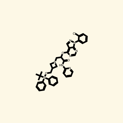 CC(C)(C)[Si](OCC1CN(CC(Oc2ncnc3c2cnn3-c2ccccc2Cl)C(=O)Nc2ccccn2)C1)(c1ccccc1)c1ccccc1